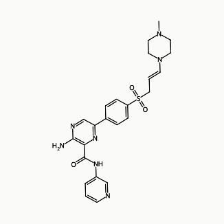 CN1CCN(C=CCS(=O)(=O)c2ccc(-c3cnc(N)c(C(=O)Nc4cccnc4)n3)cc2)CC1